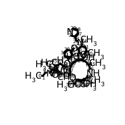 CCCNC[C@]1(O)[C@H](C)O[C@@H](O[C@H]2[C@H](C)[C@@H](O[C@@H]3O[C@H](C)C[C@H](N(C)Cc4cccnc4)[C@H]3Oc3ccccc3)[C@](C)(O)C[C@@H](C)CN[C@H](C)[C@@H](O)[C@](C)(O)[C@@H](CC)OC(=O)[C@@H]2C)C[C@@]1(C)OC